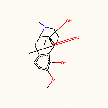 COc1ccc2c(c1O)[C@@]13CCN(C)C(C2)[C@H]1CC(O)C(=O)C3